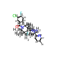 BC(B)(NC(B)(B)C1(F)C(B)(B)C(B)(B)N(C(=O)c2ccc(F)c(Cl)c2)C(B)(B)C1(B)B)c1ccc(C)cn1